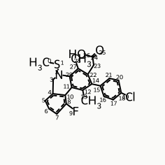 CSN1Cc2cccc(F)c2-c2c(C)c(-c3ccc(Cl)cc3)c(CC(=O)O)c(C)c21